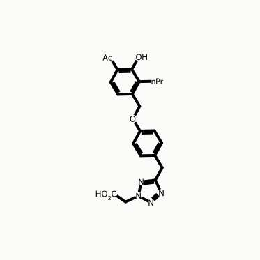 CCCc1c(COc2ccc(Cc3nnn(CC(=O)O)n3)cc2)ccc(C(C)=O)c1O